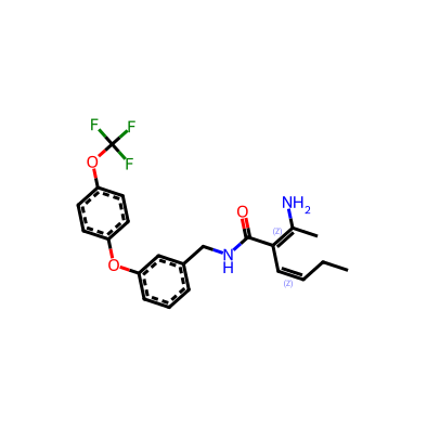 CC/C=C\C(C(=O)NCc1cccc(Oc2ccc(OC(F)(F)F)cc2)c1)=C(/C)N